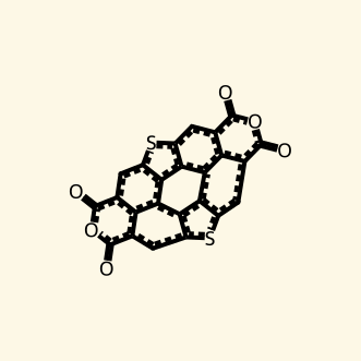 O=c1oc(=O)c2cc3sc4cc5c(=O)oc(=O)c6cc7sc8cc1c2c1c8c7c(c65)c4c31